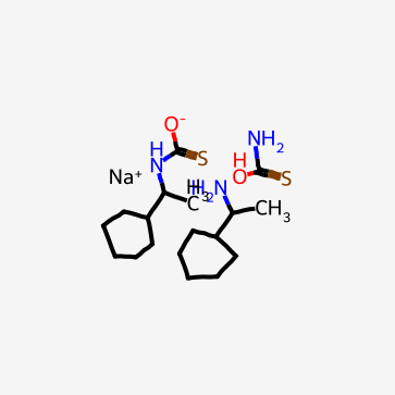 CC(N)C1CCCCC1.CC(NC([O-])=S)C1CCCCC1.NC(O)=S.[Na+]